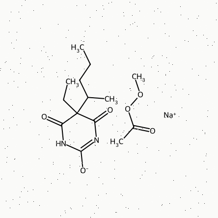 CCCC(C)C1(CC)C(=O)N=C([O-])NC1=O.COOC(C)=O.[Na+]